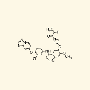 C=C(F)C(=O)N1CC(Oc2cc3c(Nc4ccc(Oc5ccn6ncnc6c5)c(Cl)c4)ncnc3cc2OC)C1